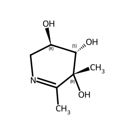 CC1=NC[C@@H](O)[C@H](O)[C@]1(C)O